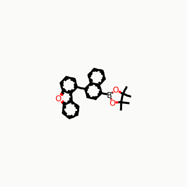 CC1(C)OB(c2ccc(-c3cccc4oc5ccccc5c34)c3ccccc23)OC1(C)C